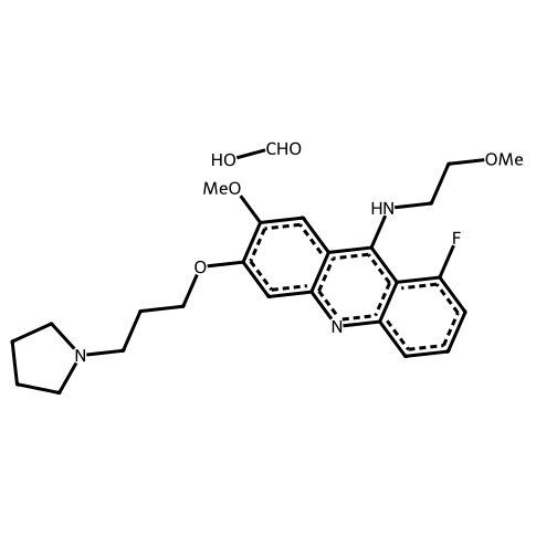 COCCNc1c2cc(OC)c(OCCCN3CCCC3)cc2nc2cccc(F)c12.O=CO